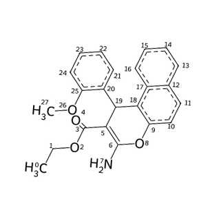 CCOC(=O)C1=C(N)Oc2ccc3ccccc3c2C1c1ccccc1OC